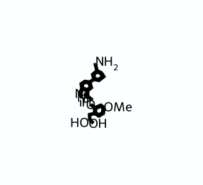 COc1ccc(CC(O)O)c(OCc2c3cc(-c4cccc(CN)c4)ccc3nn2C(C)C)c1